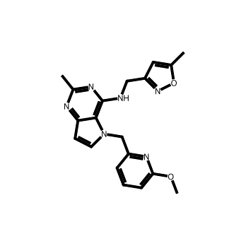 COc1cccc(Cn2ccc3nc(C)nc(NCc4cc(C)on4)c32)n1